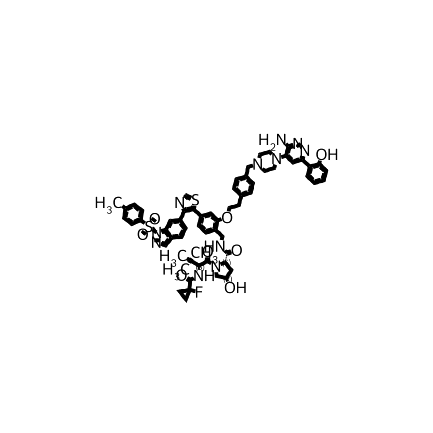 Cc1ccc(S(=O)(=O)n2ncc3ccc(-c4ncsc4-c4ccc(CNC(=O)[C@@H]5C[C@@H](O)CN5C(=O)[C@@H](NC(=O)C5(F)CC5)C(C)(C)C)c(OCCc5ccc(CN6CCN(c7cc(-c8ccccc8O)nnc7N)CC6)cc5)c4)cc32)cc1